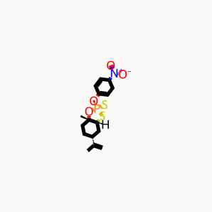 C=C(C)[C@@H]1CC[C@]2(C)O[P@@](=S)(OC3=CCC([N+](=O)[O-])C=C3)S[C@H]2C1